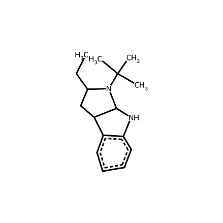 CCC1CC2c3ccccc3NC2N1C(C)(C)C